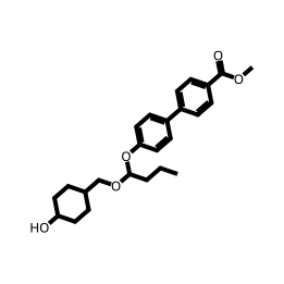 CCCC(OCC1CCC(O)CC1)Oc1ccc(-c2ccc(C(=O)OC)cc2)cc1